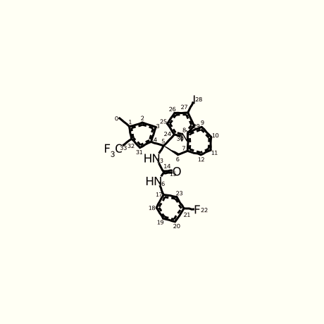 Cc1ccc([C@@](Cc2ccccc2)(NC(=O)Nc2cccc(F)c2)c2ccc(I)cn2)cc1C(F)(F)F